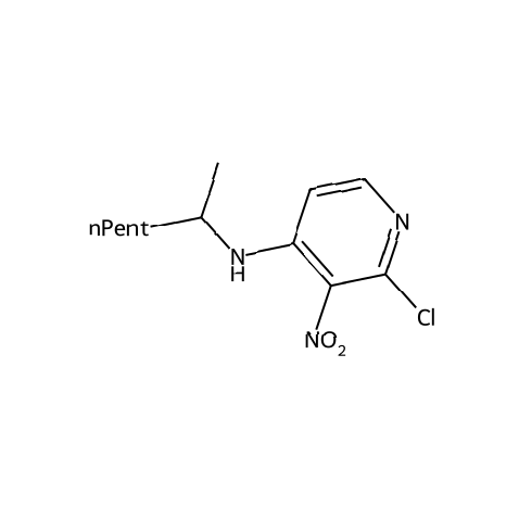 CCCCCC(C)Nc1ccnc(Cl)c1[N+](=O)[O-]